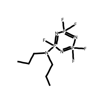 CCCN(CCC)P1(F)=NP(F)(F)=NP(F)(F)=N1